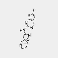 Cc1cc2cnc(NC3=NO[C@@]4(C3)CN3CCC4CC3)nc2s1